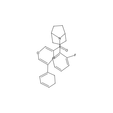 O=C(C1=COC=C(C2=CC=CCC2)O1)N1C2CCC1CC(c1ccccc1F)C2